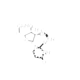 C#CC.O=c1ccn([C@@H]2O[C@H](CO)[C@@H](O)[C@H]2O)c(=O)[nH]1